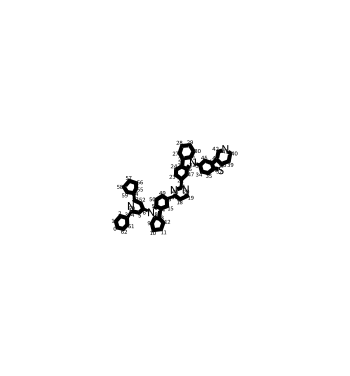 c1ccc(-c2cc(-n3c4ccccc4c4cc(-c5ccnc(-c6ccc7c8ccccc8n(-c8ccc9sc%10ccncc%10c9c8)c7c6)n5)ccc43)cc(-c3ccccc3)n2)cc1